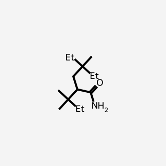 CCC(C)(CC)CC(C(N)=O)C(C)(C)CC